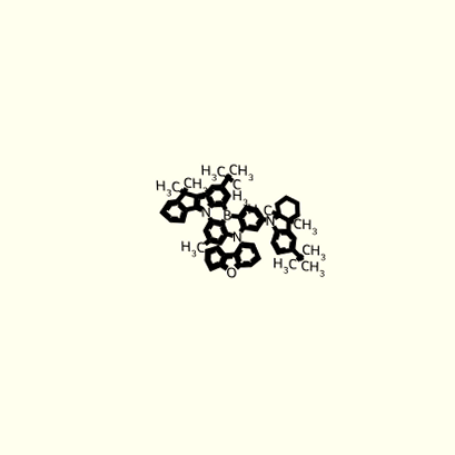 Cc1cc2c3c(c1)-n1c4c(c5cc(C(C)(C)C)cc(c51)B3c1ccc(N3c5ccc(C(C)(C)C)cc5C5(C)CCCCC35C)cc1N2c1cccc2oc3ccccc3c12)C(C)(C)c1ccccc1-4